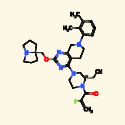 C=C(F)C(=O)N1CCN(c2nc(OCC34CCCN3CCC4)nc3c2CCN(c2cccc(C)c2C)C3)C[C@@H]1CC#N